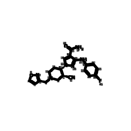 N#C[C@H]1CN(Cc2ccon2)CC[C@@H]1n1cc(C(N)=O)c(Nc2ccc(F)cc2)n1